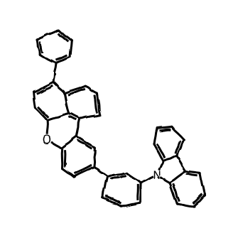 c1ccc(-c2ccc3c4c(cccc24)-c2cc(-c4cccc(-n5c6ccccc6c6ccccc65)c4)ccc2O3)cc1